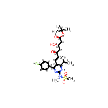 CC(C)c1nc(N(C)S(C)(=O)=O)nc(-c2ccc(F)cc2)c1/C=C/C(=O)C[C@@H](O)CC(=O)OC(C)(C)C